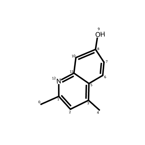 Cc1cc(C)c2ccc(O)cc2n1